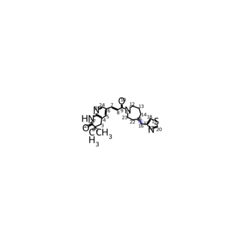 CC1(C)Cc2cc(C=CC(=O)N3CCC/C(=C\c4cscn4)CC3)cnc2NC1=O